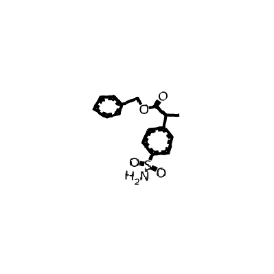 CC(C(=O)OCc1ccccc1)c1ccc(S(N)(=O)=O)cc1